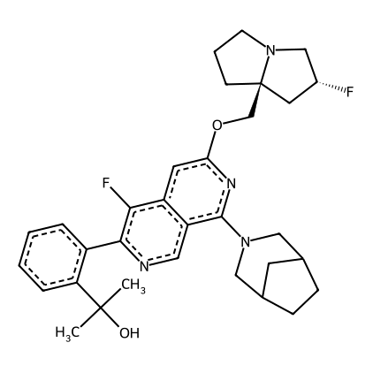 CC(C)(O)c1ccccc1-c1ncc2c(N3CC4CCC(C4)C3)nc(OC[C@@]34CCCN3C[C@H](F)C4)cc2c1F